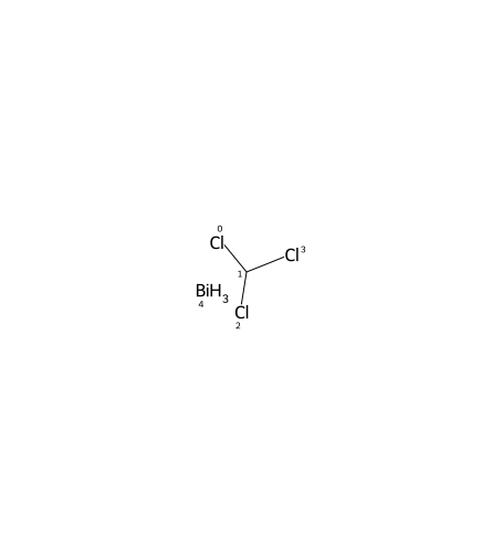 ClC(Cl)Cl.[BiH3]